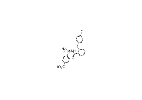 CN(NC(=O)c1ccccc1Cc1ccc(Cl)cc1)c1ccc(C(=O)O)cc1